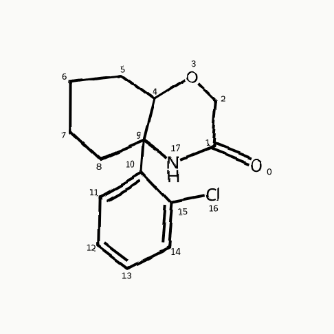 O=C1COC2CCCCC2(c2ccccc2Cl)N1